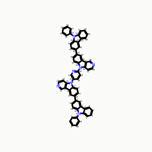 c1ccc(-n2c3ccccc3c3cc(-c4ccc5c(c4)c4cnccc4n5-c4ccc(-n5c6ccncc6c6cc(-c7ccc8c(c7)c7ccccc7n8-c7ccccc7)ccc65)nc4)ccc32)cc1